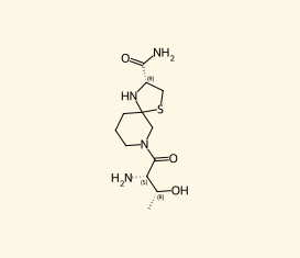 C[C@@H](O)[C@H](N)C(=O)N1CCCC2(C1)N[C@H](C(N)=O)CS2